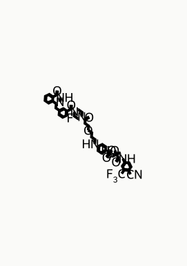 CC(O)(CS(=O)(=O)c1ccc(NCCCOCCC(=O)N2CCN(C(=O)c3cc(Cc4n[nH]c(=O)c5ccccc45)ccc3F)CC2)cc1)C(=O)Nc1ccc(C#N)c(C(F)(F)F)c1